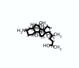 C[C@H](O)CC[C@@H](C)[C@H]1CC[C@H]2[C@@H]3[C@H](O)C[C@H]4C[C@H](N)CC[C@]4(C)[C@H]3CC[C@]12C